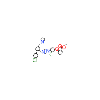 CCOC(=O)c1ccccc1Oc1ccc(N2CCN(Cc3cc(CCN4CCCC4)ccc3-c3ccc(Cl)cc3)CC2)c(Cl)c1